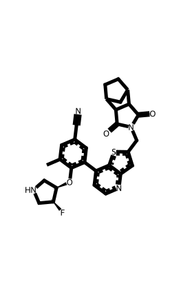 Cc1cc(C#N)cc(-c2ccnc3cc(CN4C(=O)C5C6CCC(C6)C5C4=O)sc23)c1O[C@@H]1CNC[C@@H]1F